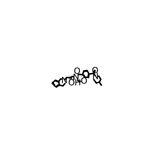 CC1CCN(C(=O)c2ccc3c(c2)OCCN(C[C@H](O)CN2CCc4ccccc4C2)C3=O)CC1